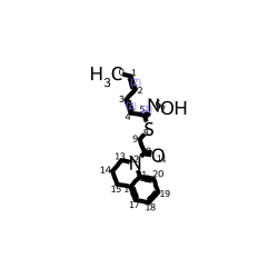 C\C=C/C=C\C(=N\O)SCC(=O)N1CCCc2ccccc21